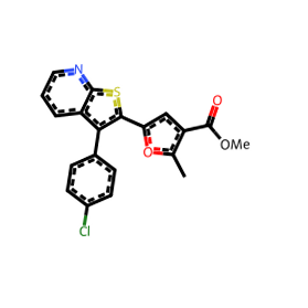 COC(=O)c1cc(-c2sc3ncccc3c2-c2ccc(Cl)cc2)oc1C